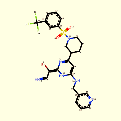 N=C/C(Br)=C1/N=C(C2CCCN(S(=O)(=O)c3cccc(C(F)(F)F)c3)C2)C=C(NCc2cccnc2)N1